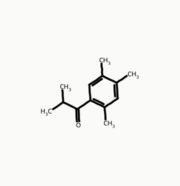 Cc1cc(C)c(C(=O)C(C)C)cc1C